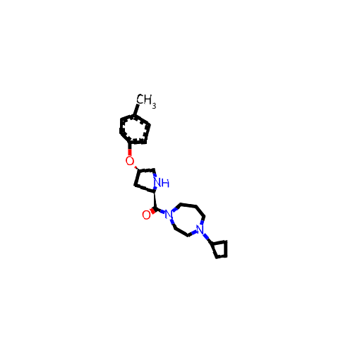 Cc1ccc(O[C@@H]2CN[C@@H](C(=O)N3CCCN(C4CCC4)CC3)C2)cc1